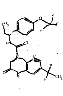 CCC(NC(=O)N1CC(=O)Nc2cc(C(C)(F)F)cnc21)c1ccc(OC(F)(F)F)cc1